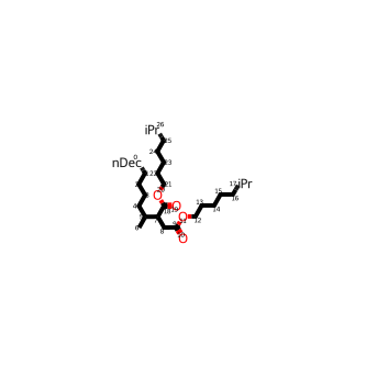 CCCCCCCCCCCCCCC(C)C(CC(=O)OCCCCCC(C)C)C(=O)OCCCCCC(C)C